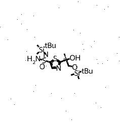 CC(C)(C)[Si](C)(C)N=S(N)(=O)c1cnc([C@](C)(O)CO[Si](C)(C)C(C)(C)C)s1